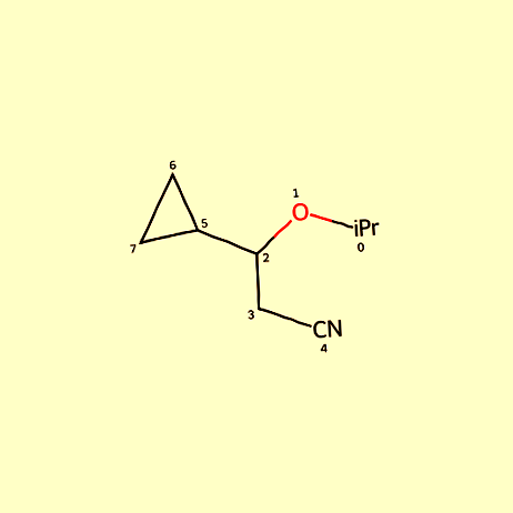 CC(C)OC(CC#N)C1CC1